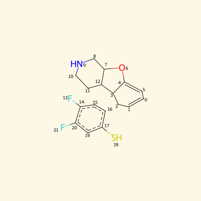 C1=CCC2C(=C1)OC1CNCCC12.Fc1ccc(S)cc1F